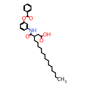 CCCCCCCCCCCCCCC(CC(=O)O)C(=O)Nc1cccc(OC(=O)c2ccccc2)c1